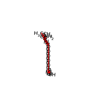 CCCN(OCC)C(=O)C1=Cc2ccc(-c3cnc(N4CCN(CCOCCOCCOCCOCCOCCOCCOCCOCCOCCOCCC(=O)Oc5c(F)c(F)c(S(=O)(=O)O)c(F)c5F)CC4)nc3)cc2N=C(N)C1